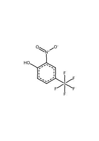 O=[N+]([O-])c1cc(S(F)(F)(F)(F)F)ccc1O